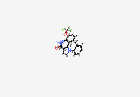 Cc1ccccc1N1CCc2c1c1cccc(OC(F)(F)F)c1[nH]c2=O